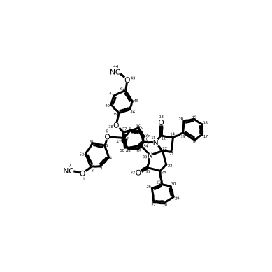 N#COc1ccc(Oc2ccc(N3C(=O)C(c4ccccc4)CC34CC(c3ccccc3)C(=O)N4c3ccc(Oc4ccc(OC#N)cc4)cc3)cc2)cc1